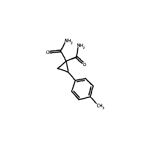 Cc1ccc(C2CC2(C(N)=O)C(N)=O)cc1